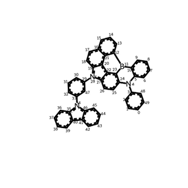 c1ccc(N2c3ccccc3B3c4cccc5ccc6c(c45)c4c3c2ccc4n6-c2cccc(-n3c4ccccc4c4ccccc43)c2)cc1